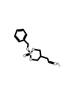 C=CCC1COP(=O)(OCc2ccccc2)OC1